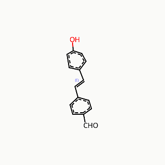 O=Cc1ccc(/C=C/c2ccc(O)cc2)cc1